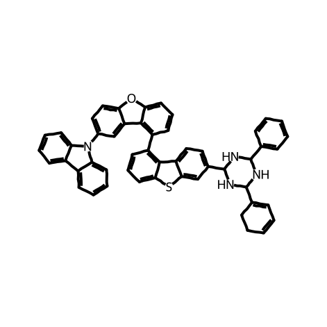 C1=CCCC(C2NC(c3ccccc3)NC(c3ccc4c(c3)sc3cccc(-c5cccc6oc7ccc(-n8c9ccccc9c9ccccc98)cc7c56)c34)N2)=C1